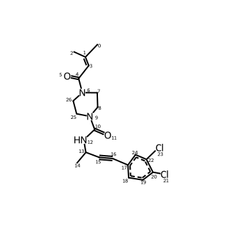 CC(C)=CC(=O)N1CCN(C(=O)NC(C)C#Cc2ccc(Cl)c(Cl)c2)CC1